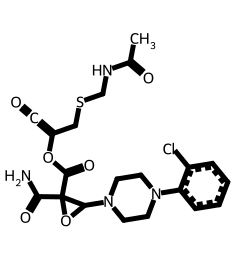 CC(=O)NCSCC(=C=O)OC(=O)C1(C(N)=O)OC1N1CCN(c2ccccc2Cl)CC1